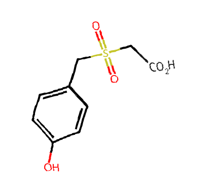 O=C(O)CS(=O)(=O)Cc1ccc(O)cc1